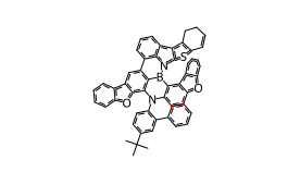 CC(C)(C)c1ccc(N2c3ccc4oc5ccccc5c4c3B3c4c(cc5c(oc6ccccc65)c42)-c2cccc4c5c6c(sc5n3c24)C=CCC6)c(-c2ccccc2)c1